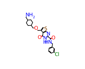 NCC1CCC(COCc2csc3nc(C(=O)NCc4cccc(Cl)c4)[nH]c(=O)c23)CC1